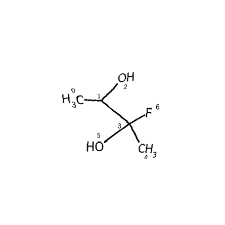 CC(O)C(C)(O)F